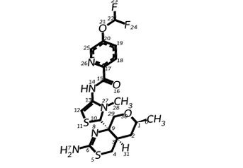 C[C@H]1C[C@H]2CSC(N)=N[C@@]2(C2SC=C(NC(=O)c3ccc(OC(F)F)cn3)N2C)CO1